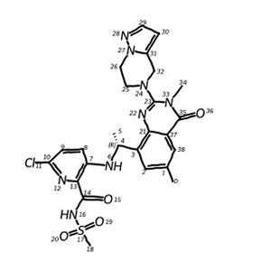 Cc1cc([C@@H](C)Nc2ccc(Cl)nc2C(=O)NS(C)(=O)=O)c2nc(N3CCn4nccc4C3)n(C)c(=O)c2c1